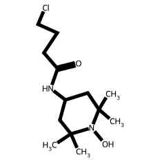 CC1(C)CC(NC(=O)CCCCl)CC(C)(C)N1O